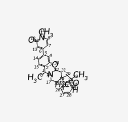 C[C@@H](c1ccc(-c2ccn(C)c(=O)c2)cc1)N1CCC(CC(C)(C)O)(c2ccccc2)CC1=O